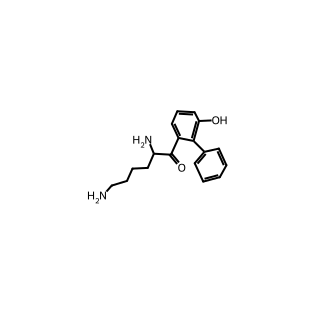 NCCCCC(N)C(=O)c1cccc(O)c1-c1ccccc1